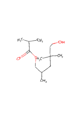 CC(COC(=O)C(C)C)CC(C)(C)CO